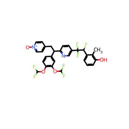 Cc1c(O)cccc1C(F)C(F)(F)c1ccc(C(Cc2cc[n+]([O-])cc2)c2ccc(OC(F)F)c(OC(F)F)c2)nc1